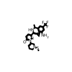 CSN1CCC=C(n2nc(C(NC(C)c3cc(N)cc(C(F)(F)F)c3)=C3CC3)ccc2=O)C1